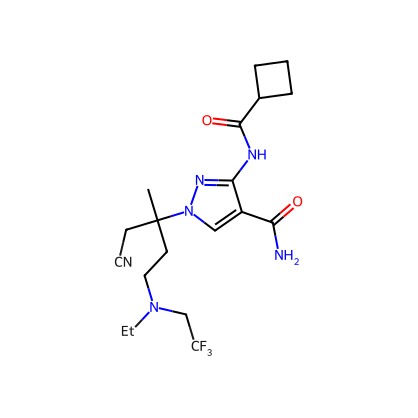 CCN(CCC(C)(CC#N)n1cc(C(N)=O)c(NC(=O)C2CCC2)n1)CC(F)(F)F